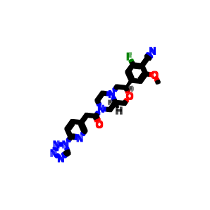 COc1cc([C@@H]2CN3CCN(C(=O)Cc4ccc(-n5cnnn5)nc4)C[C@H]3CO2)cc(F)c1C#N